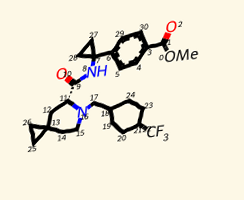 COC(=O)c1ccc(C2(NC(=O)[C@H]3CC4(CCN3CC3CCC(C(F)(F)F)CC3)CC4)CC2)cc1